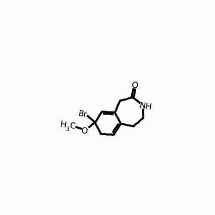 COC1(Br)C=C2CC(=O)NCCC2=CC1